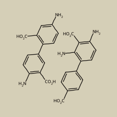 Nc1ccc(-c2ccc(C(=O)O)cc2)c(N)c1C(=O)O.Nc1ccc(-c2ccc(N)c(C(=O)O)c2)c(C(=O)O)c1